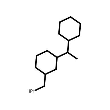 CC(C)CC1CCCC(C(C)C2CCCCC2)C1